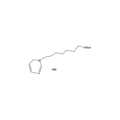 Br.CCCCCCCCCCCCCCCCN1C=CC=CC1